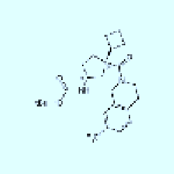 CC(C)(C)OC(=O)N[C@@H]1CC[C@@](C(=O)N2CCc3ccc(C(F)(F)F)cc3C2)(C2CCC2)C1